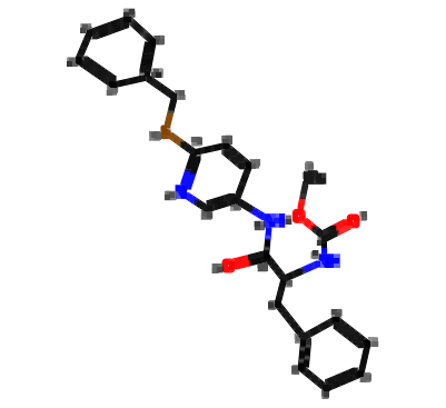 CC(C)(C)OC(=O)NC(Cc1ccccc1)C(=O)Nc1ccc(SCc2ccccc2)nc1